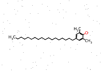 CCCCCCCCCCCCCCCCCCc1cc(C)c([O])c(C)c1